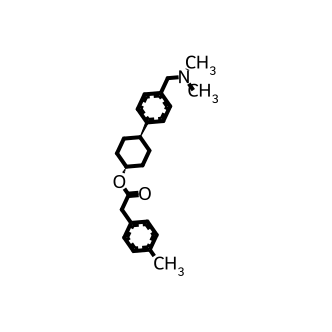 Cc1ccc(CC(=O)O[C@H]2CC[C@H](c3ccc(CN(C)C)cc3)CC2)cc1